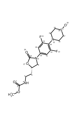 COC(=O)NCC[C@H]1CN(c2cc(F)c(N3CC[S+]([O-])CC3)c(F)c2)C(=O)O1